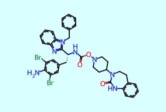 Nc1c(Br)cc(C[C@@H](NC(=O)ON2CCC(N3CCc4ccccc4NC3=O)CC2)c2nc3ccccc3n2Cc2ccccc2)cc1Br